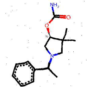 CC(c1ccccc1)N1C[C@@H](OC(N)=O)C(C)(C)C1